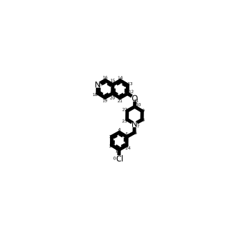 Clc1cccc(CN2CCC(Oc3ccc4cnccc4c3)CC2)c1